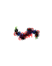 O=C(c1ccc(F)cc1)C1CCN(CCn2c(=O)c3ccccc3n(OC(=O)C(O)C(O)C(=O)On3c(=O)n(CCN4CCC(C(=O)c5ccc(F)cc5)CC4)c(=O)c4ccccc43)c2=O)CC1